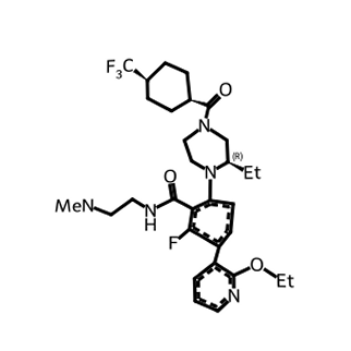 CCOc1ncccc1-c1ccc(N2CCN(C(=O)[C@H]3CC[C@@H](C(F)(F)F)CC3)C[C@H]2CC)c(C(=O)NCCNC)c1F